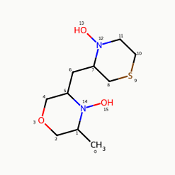 CC1COCC(CC2CSCCN2O)N1O